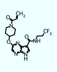 C=CC(=O)N1CCC(Oc2cnc3[nH]cc(C(=O)NCCC(F)(F)F)c3n2)CC1